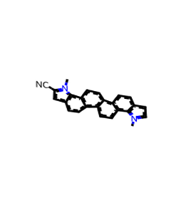 Cn1ccc2ccc3c4ccc5c(ccc6cc(C#N)n(C)c65)c4ccc3c21